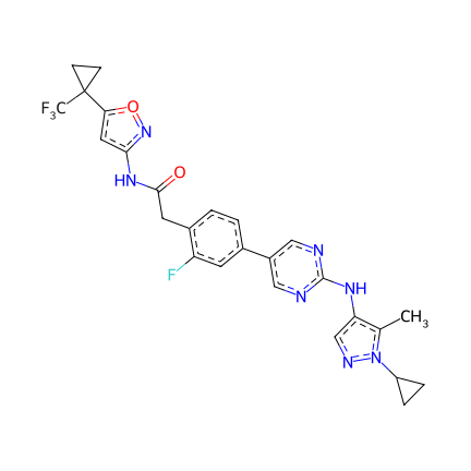 Cc1c(Nc2ncc(-c3ccc(CC(=O)Nc4cc(C5(C(F)(F)F)CC5)on4)c(F)c3)cn2)cnn1C1CC1